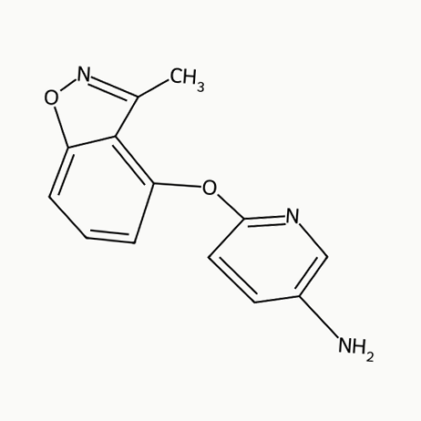 Cc1noc2cccc(Oc3ccc(N)cn3)c12